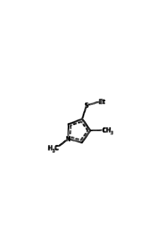 CCSc1cn(C)cc1C